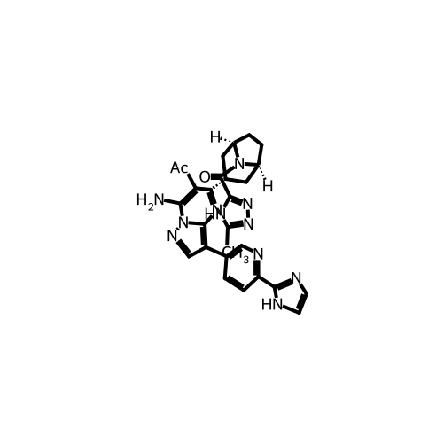 CC(=O)c1c([C@@H]2C[C@H]3CC[C@@H](C2)N3C(=O)c2nnc(C)[nH]2)nc2c(-c3ccc(-c4ncc[nH]4)nc3)cnn2c1N